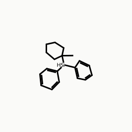 CC1([SiH](c2ccccc2)c2ccccc2)CCCCC1